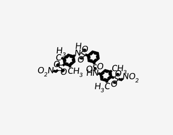 Cc1cc(NS(=O)(=O)c2cccc(S(=O)(=O)Nc3cc(C)c(S(=O)(=O)C[N+](=O)[O-])c(C)c3)c2)cc(C)c1S(=O)(=O)C[N+](=O)[O-]